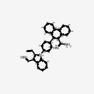 C=Cc1c(C=N)c2ccccc2n1-c1ccc(-c2c(C(=N)N)c3ccccc3c3ccccc23)cc1